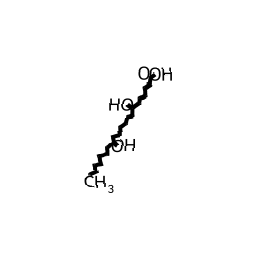 CCCCCCCCC(O)CCCCC=CC(O)=CC=CC=CC(=O)O